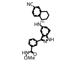 CONC(=O)c1cccc(-c2n[nH]c3ccc(N[C@H]4CCCc5cc(C#N)ccc54)cc23)c1